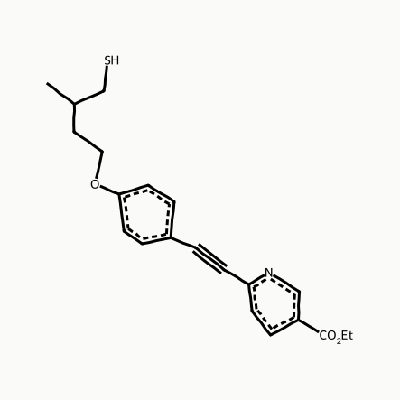 CCOC(=O)c1ccc(C#Cc2ccc(OCCC(C)CS)cc2)nc1